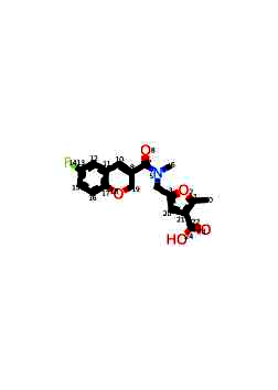 Cc1oc(CN(C)C(=O)C2=Cc3cc(F)ccc3OC2)cc1C(=O)O